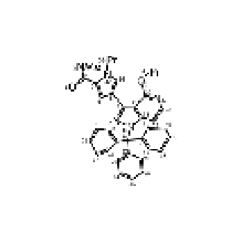 CNC(=O)c1cc(-c2nn(C(c3ccccc3)(c3ccccc3)c3ccccc3)c3ccnc(OC(C)C)c23)cn1C(C)C